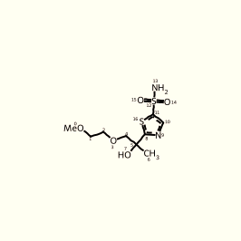 COCCOCC(C)(O)c1ncc(S(N)(=O)=O)s1